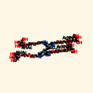 CC(=O)NC1C(OCCOCCOCCOCCn2cc(CN(CCCC[C@@H](C(=O)O)N(Cc3cn(CCOCCOCCOCCOC4OC(CO)C(O)C(O)C4NC(C)=O)nn3)Cc3cn(CCOCCOCCOCCOC4OC(CO)C(O)C(O)C4NC(C)=O)nn3)Cc3cn(CCOCCOCCOCCOC4OC(CO)CC(O)(CO)C4NC(C)=O)nn3)nn2)OC(CO)C(O)C1O